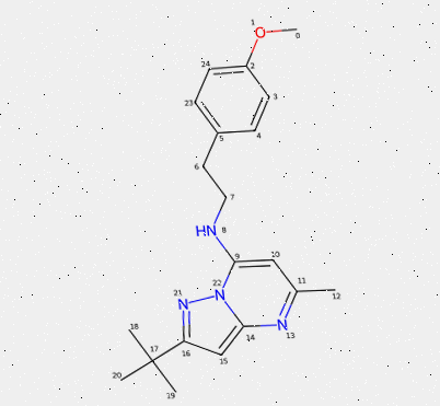 COc1ccc(CCNc2cc(C)nc3cc(C(C)(C)C)nn23)cc1